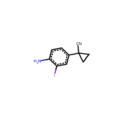 N#CC1(c2ccc(N)c(I)c2)CC1